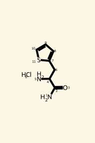 Cl.NC(=O)C(N)Cc1cccs1